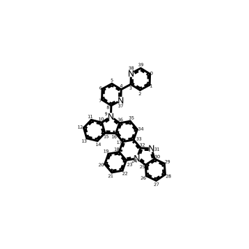 c1ccc(-c2cccc(-n3c4ccccc4c4c5c6ccccc6n6c7ccccc7nc6c5ccc43)n2)nc1